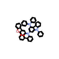 c1ccc(-c2ccccc2N(c2ccc3oc4ccccc4c3c2)c2cc(N(c3ccccc3)c3ccccc3)c3c4ccccc4n(-c4ccccc4)c3c2)cc1